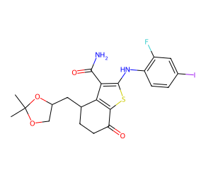 CC1(C)OCC(CC2CCC(=O)c3sc(Nc4ccc(I)cc4F)c(C(N)=O)c32)O1